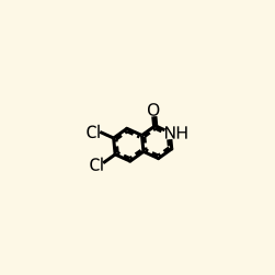 O=c1[nH]ccc2cc(Cl)c(Cl)cc12